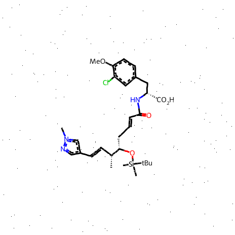 COc1ccc(C[C@@H](NC(=O)/C=C/C[C@H](O[Si](C)(C)C(C)(C)C)[C@H](C)/C=C/c2cnn(C)c2)C(=O)O)cc1Cl